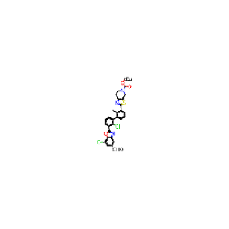 Cc1c(-c2nc3c(s2)CN(C(=O)OC(C)(C)C)CC3)cccc1-c1cccc(-c2nc3cc(C=O)cc(Cl)c3o2)c1Cl